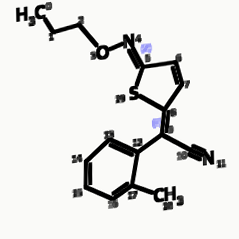 CCCO/N=C1C=C/C(=C(\C#N)c2ccccc2C)S/1